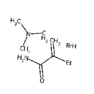 Br.C=C(CC)C(N)=O.CN(C)C